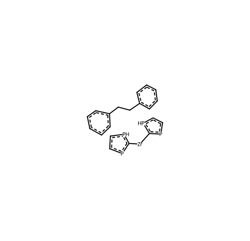 c1c[pH][c]([Zr][c]2pcc[pH]2)p1.c1ccc(CCc2ccccc2)cc1